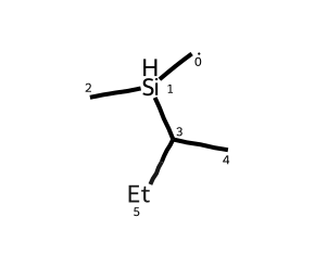 [CH2][SiH](C)C(C)CC